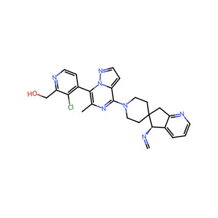 C=N[C@@H]1c2cccnc2CC12CCN(c1nc(C)c(-c3ccnc(CO)c3Cl)n3nccc13)CC2